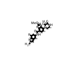 COc1nc2c(C(=O)Nc3cc(F)c4nn(C)cc4c3)ccc(N3CCNC(C)C3C)c2s1